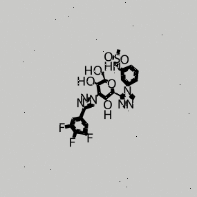 CS(=O)(=O)Nc1cccc(-n2cnnc2[C@@H]2O[C@H](CO)[C@H](O)[C@H](n3cc(-c4cc(F)c(F)c(F)c4)nn3)[C@H]2O)c1